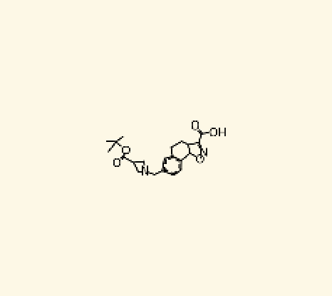 CC(C)(C)OC(=O)C1CN(Cc2ccc3c(c2)CCC2C(C(=O)O)=NOC32)C1